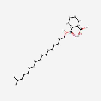 CC(C)CCCCCCCCCCCCCCCOC(=O)C1CCCCC1C(=O)O